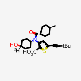 [2H][C@]1(O)CC[C@@H](N(c2cc(C#CC(C)(C)C)sc2C(=O)O)C(=O)[C@H]2CC[C@H](C)CC2)CC1